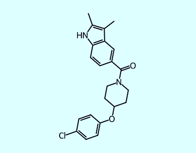 Cc1[nH]c2ccc(C(=O)N3CCC(Oc4ccc(Cl)cc4)CC3)cc2c1C